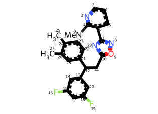 CNc1ncccc1-c1noc(CC(c2cc(F)cc(F)c2)c2ccc(C)c(C)c2)n1